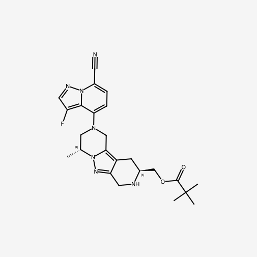 C[C@@H]1CN(c2ccc(C#N)n3ncc(F)c23)Cc2c3c(nn21)CN[C@H](COC(=O)C(C)(C)C)C3